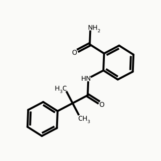 CC(C)(C(=O)Nc1ccccc1C(N)=O)c1ccccc1